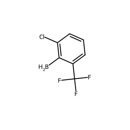 Bc1c(Cl)cccc1C(F)(F)F